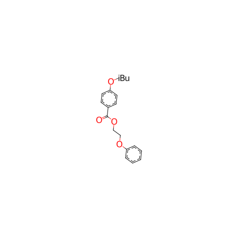 CCC(C)Oc1ccc(C(=O)OCCOc2ccccc2)cc1